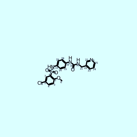 COc1ccc(Cl)cc1S(=O)(=O)Nc1ccc(NC(=O)NCc2cccnc2)cc1